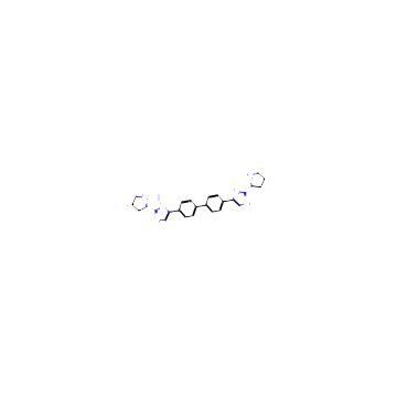 O[C@H]1CN[C@H](c2ncc(-c3ccc(-c4ccc(-c5cnc([C@@H]6C[C@@H](O)CN6)[nH]5)cc4)cc3)[nH]2)C1